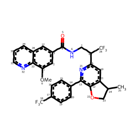 COc1cc(C(=O)NCC(c2cc3c(c(-c4ccc(C(F)(F)F)cc4)n2)OCC3C)C(F)(F)F)cc2cccnc12